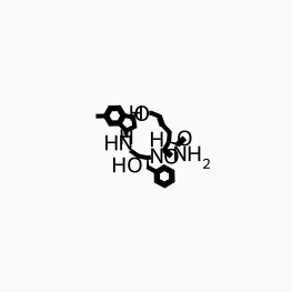 Cc1ccc2c(c1)[C@@H]1C[C@H]2OC/C=C/C[C@@H](C(N)=O)C(=O)N[C@@H](Cc2ccccc2)[C@H](O)CN1